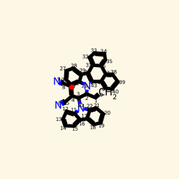 C=CC(C(/C(C#N)=C/C#N)n1c2ccccc2c2ccccc21)n1c2ccccc2c2c3ccccc3c3ccccc3c21